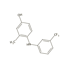 Cc1cc(O)ccc1Nc1cccc(C(F)(F)F)c1